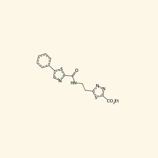 CCOC(=O)c1nnc(CCNC(=O)c2ncc(-c3ccccc3)s2)s1